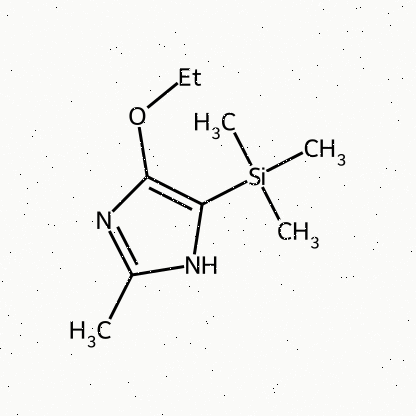 CCOc1nc(C)[nH]c1[Si](C)(C)C